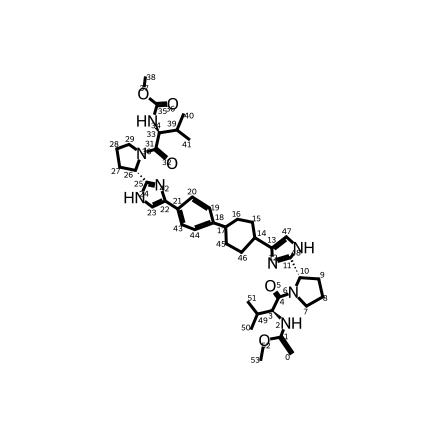 C=C(N[C@H](C(=O)N1CCC[C@H]1c1nc(C2CCC(c3ccc(-c4c[nH]c([C@@H]5CCCN5C(=O)[C@@H](NC(=O)OC)C(C)C)n4)cc3)CC2)c[nH]1)C(C)C)OC